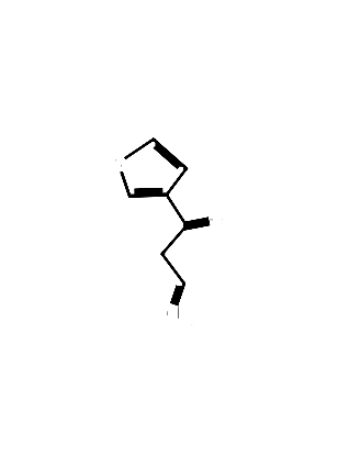 C=CCC(=O)c1ccsc1